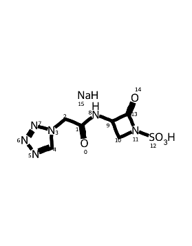 O=C(Cn1cnnn1)NC1CN(S(=O)(=O)O)C1=O.[NaH]